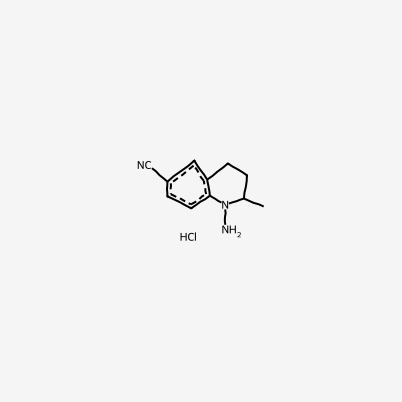 CC1CCc2cc(C#N)ccc2N1N.Cl